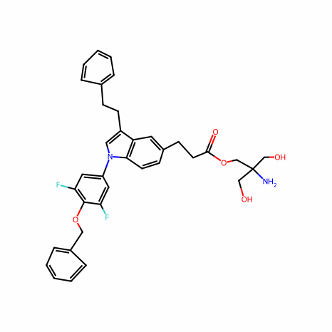 NC(CO)(CO)COC(=O)CCc1ccc2c(c1)c(CCc1ccccc1)cn2-c1cc(F)c(OCc2ccccc2)c(F)c1